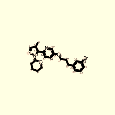 CC1C=NN(C2CCCCO2)C1c1ccc(OCCCc2cccc(Br)c2)cn1